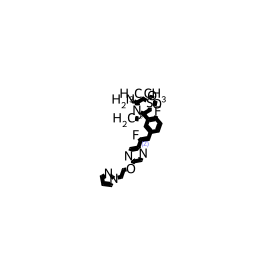 C=C[C@@]1(c2cc(/C=C(\F)c3cnc(OCCn4cccn4)cn3)ccc2F)CS(=O)(=O)C(C)(C)C(N)=N1